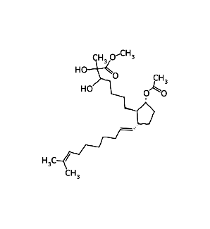 COC(=O)C(C)(O)C(O)CCCC[C@@H]1[C@@H](/C=C/CCCCCC=C(C)C)CC[C@H]1OC(C)=O